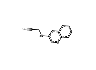 C#CCNc1cnc2ccccc2c1